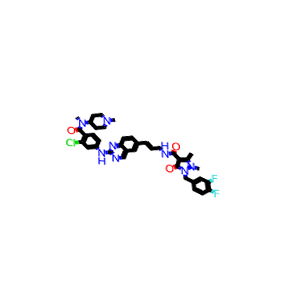 Cc1c(C(=O)NCC=Cc2ccc3nc(Nc4ccc(C(=O)N(C)C5CCN(C)CC5)c(Cl)c4)ncc3c2)c(=O)n(Cc2ccc(F)c(F)c2)n1C